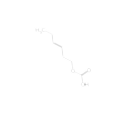 CCC=CCCOC(=O)O